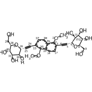 COc1c(C#C[C@H]2O[C@H](CO)[C@@H](O)[C@H](O)[C@@H]2O)ccc2c(OC)c(C#C[C@H]3O[C@H](CO)[C@@H](O)[C@H](O)[C@@H]3O)ccc12